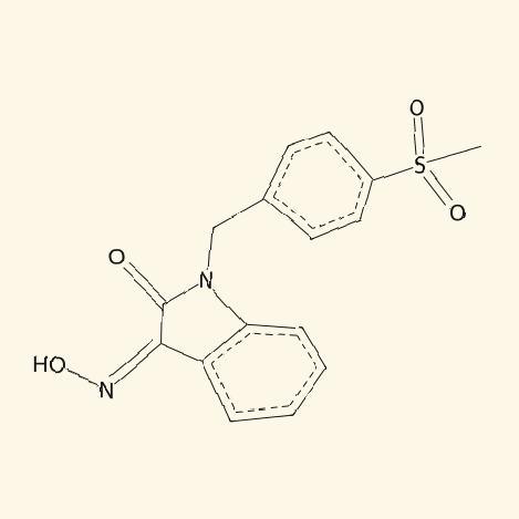 CS(=O)(=O)c1ccc(CN2C(=O)/C(=N\O)c3ccccc32)cc1